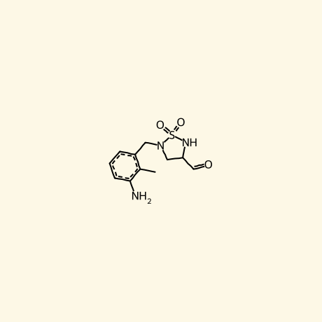 Cc1c(N)cccc1CN1CC(C=O)NS1(=O)=O